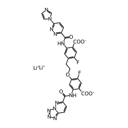 O=C(Nc1cc(CCOc2cc(NC(=O)c3ccc4nnnn4n3)c(C(=O)[O-])cc2F)c(F)cc1C(=O)[O-])c1ccc(-n2ccnc2)nn1.[Li+].[Li+]